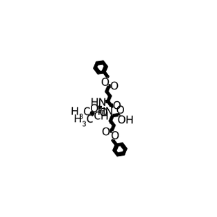 CC(C)(C)OC(=O)NC(CCC(=O)OCc1ccccc1)C(=O)NC(CCC(=O)OCc1ccccc1)C(=O)O